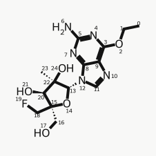 CCOc1nc(N)nc2c1ncn2[C@@H]1O[C@@](CO)(CF)[C@@H](O)[C@@]1(C)O